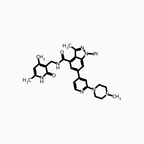 Cc1cc(C)c(CNC(=O)c2cc(-c3ccnc(N4CCN(C)CC4)c3)cc3c2c(C)nn3C(C)C)c(=O)[nH]1